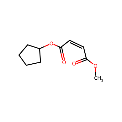 COC(=O)/C=C\C(=O)OC1CCCC1